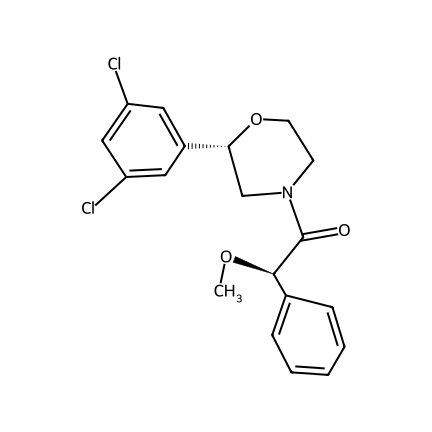 CO[C@@H](C(=O)N1CCO[C@@H](c2cc(Cl)cc(Cl)c2)C1)c1ccccc1